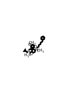 COc1cccc(C23CCN(CC4CC4)CC2(OC)CCC(N(C)C(=O)CCCCCc2ccccc2)C3)c1